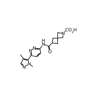 Cc1cnn(C)c1-c1ccc(NC(=O)C2CC3(C2)CN(C(=O)O)C3)nn1